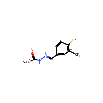 COC(=O)N/N=C/c1ccc(F)c(C(F)(F)F)c1